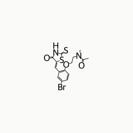 CC(=O)N(C)CCOc1ccc(Br)cc1C=C1SC(=S)NC1=O